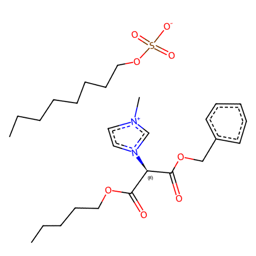 CCCCCCCCOS(=O)(=O)[O-].CCCCCOC(=O)[C@H](C(=O)OCc1ccccc1)n1cc[n+](C)c1